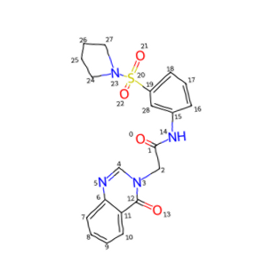 O=C(Cn1cnc2ccccc2c1=O)Nc1cccc(S(=O)(=O)N2CCCC2)c1